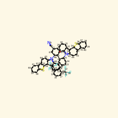 N#Cc1ccc(-c2cc(-c3c(C(F)(F)F)cccc3C(F)(F)F)ccc2-n2c3ccccc3c3c4sc5ccccc5c4ccc32)c(-n2c3ccccc3c3c4sc5ccccc5c4ccc32)c1